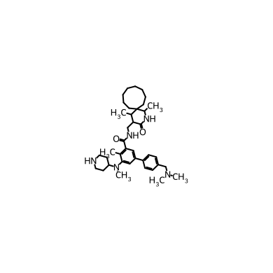 Cc1c(C(=O)NCC2C(=O)NC(C)C3(CCCCCCCC3)C2C)cc(-c2ccc(CN(C)C)cc2)cc1N(C)C1CCNCC1